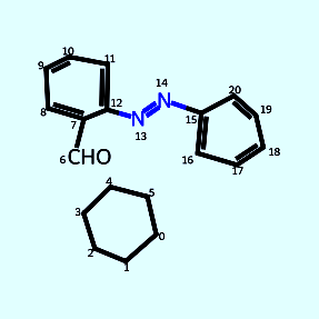 C1CCCCC1.O=Cc1ccccc1N=Nc1ccccc1